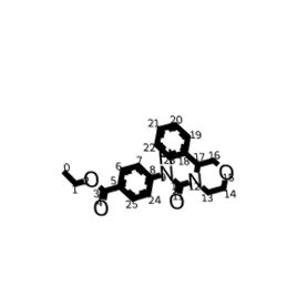 CCOC(=O)c1ccc(NC(=O)N2CCOCC2c2ccccc2)cc1